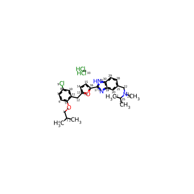 CC(C)COc1ccc(Cl)cc1Cc1ccc(-c2nc3cc(CN(C)C(C)C)ccc3[nH]2)o1.Cl.Cl